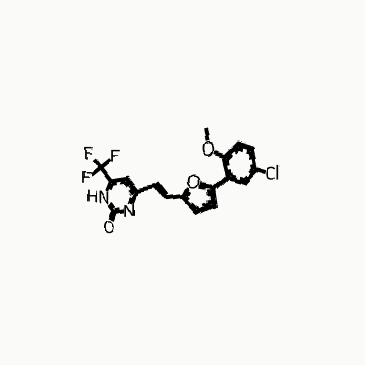 COc1ccc(Cl)cc1-c1ccc(C=Cc2cc(C(F)(F)F)[nH]c(=O)n2)o1